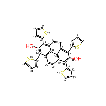 Oc1c(-c2cccs2)c2ccc3c(-c4cccs4)c(O)c(-c4cccs4)c4ccc(c1-c1cccs1)c2c34